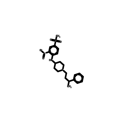 CC(CCN1CCC(Nc2ccc(S(C)(=O)=O)cc2[N+](=O)[O-])CC1)c1ccccc1